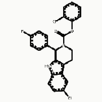 O=C(Oc1ccccc1Cl)N1CCc2c([nH]c3ccc(Cl)cc23)C1c1ccc(F)cc1